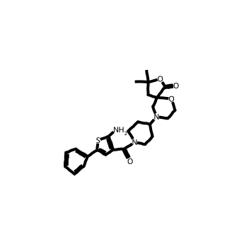 CC1(C)CC2(CN(C3CCN(C(=O)c4cc(-c5ccccc5)sc4N)CC3)CCO2)C(=O)O1